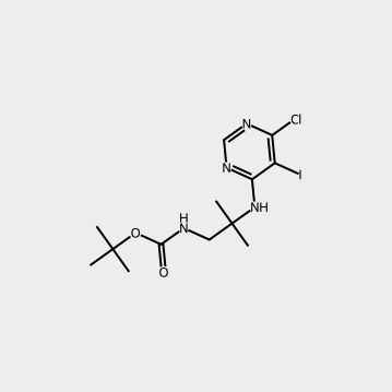 CC(C)(CNC(=O)OC(C)(C)C)Nc1ncnc(Cl)c1I